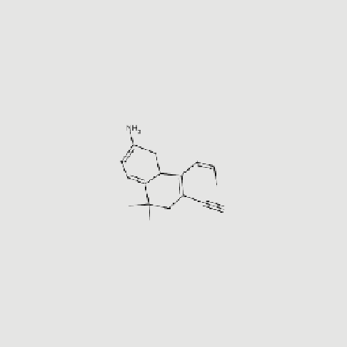 C#CC1=C(/C=C\C)C2CC(N)=CC=C2C(C)(C)C1